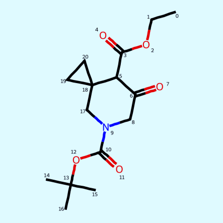 CCOC(=O)C1C(=O)CN(C(=O)OC(C)(C)C)CC12CC2